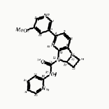 COc1cncc(-c2ccc3c(n2)N(C(=O)Nc2ccccn2)C2CCN32)c1